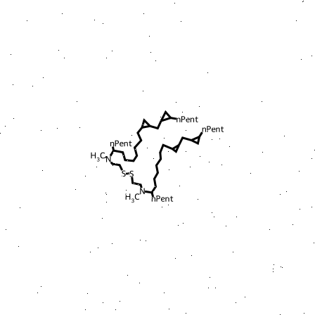 CCCCCC1CC1CC1CC1CCCCCCCC(CCCCC)N(C)CCSSCCN(C)C(CCCCC)CCCCCCCC1CC1CC1CC1CCCCC